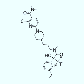 CCc1cccc([C@](O)(C(=O)N(C)CCCC2CCN(c3ccc(C(=O)N(C)C)c(Cl)n3)CC2)C(F)(F)F)c1